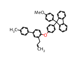 C=CCc1cc(-c2ccc(C)cc2)ccc1Oc1ccc(C2(c3ccc(OC)cc3)c3ccccc3-c3ccccc32)cc1